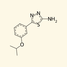 CC(C)Oc1cccc(-c2nnc(N)s2)c1